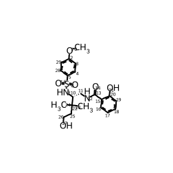 COc1ccc(S(=O)(=O)N[C@H](CNC(=O)c2ccccc2O)C(C)(C)CCO)cc1